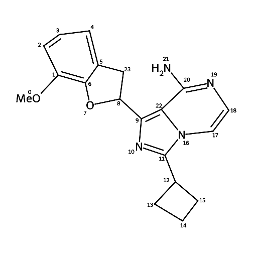 COc1cccc2c1OC(c1nc(C3CCC3)n3ccnc(N)c13)C2